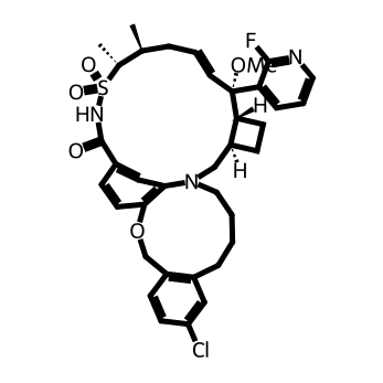 CO[C@@]1(c2cccnc2F)/C=C/C[C@H](C)[C@@H](C)S(=O)(=O)NC(=O)c2ccc3c(c2)N(CCCCc2cc(Cl)ccc2CO3)C[C@@H]2CC[C@H]21